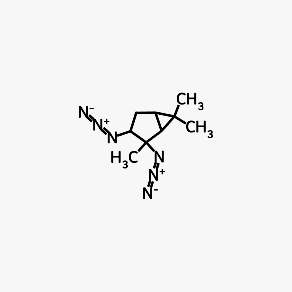 CC1(C)C2CC(N=[N+]=[N-])C(C)(N=[N+]=[N-])C21